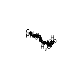 Cn1nc(N2CCC(=O)NC2=O)c2ncc(C3CCN(CC4CCN(c5cccc(S(=O)(=O)N6CCC(Nc7ncc(Cl)cn7)CC6)c5)CC4)CC3)cc21